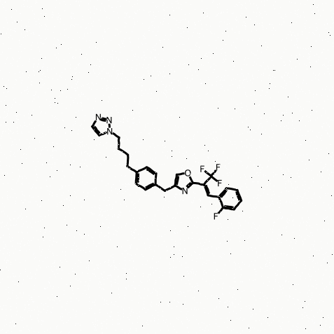 Fc1ccccc1C=C(c1nc(Cc2ccc(CCCCn3ccnn3)cc2)co1)C(F)(F)F